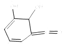 O=C=C1C=CC=C(O)C1O